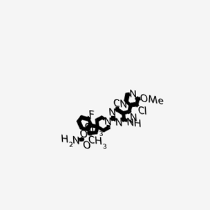 COc1nccc(-c2n[nH]c3nc(N4CCC(CC(C)(C)OC(N)=O)(c5ccccc5F)CC4)nc(C#N)c23)c1Cl